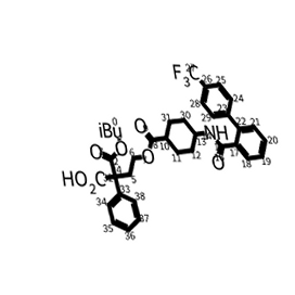 CCC(C)OC(=O)C(CCOC(=O)C1CCC(NC(=O)c2ccccc2-c2ccc(C(F)(F)F)cc2)CC1)(C(=O)O)c1ccccc1